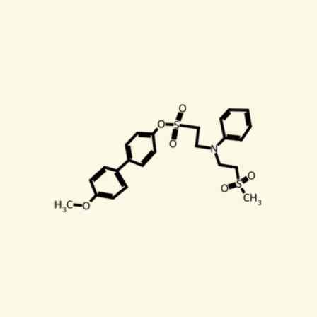 COc1ccc(-c2ccc(OS(=O)(=O)CCN(CCS(C)(=O)=O)c3ccccc3)cc2)cc1